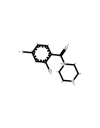 O=C(c1ccc(I)cc1Cl)N1CCOCC1